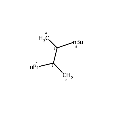 [CH2]C(CCC)C(C)CCCC